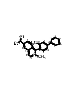 CCC(CC)c1ccc2c(-c3ccc(-c4ccccc4)cc3C)[n+](C)ccc2c1